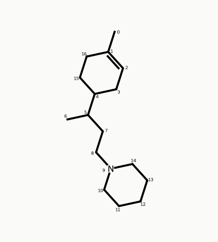 CC1=CCC(C(C)CCN2CCCCC2)CC1